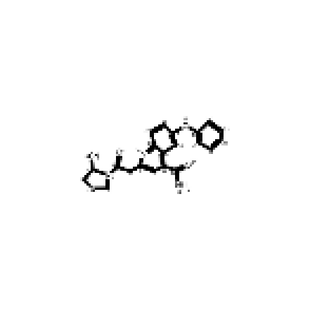 N#CC1CSCN1C(=O)Cc1cc(C(N)=O)c2cc(Oc3ccccc3)ccc2n1